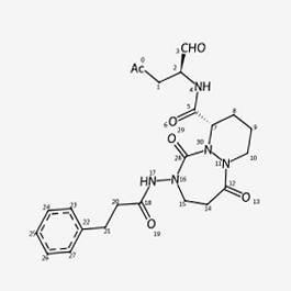 CC(=O)C[C@@H](C=O)NC(=O)[C@@H]1CCCN2C(=O)CCN(NC(=O)CCc3ccccc3)C(=O)N12